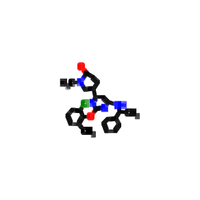 Cc1cccc(Cl)c1Oc1nc(NC(C)c2ccccc2)cc(-c2ccc(=O)n(C)c2)n1